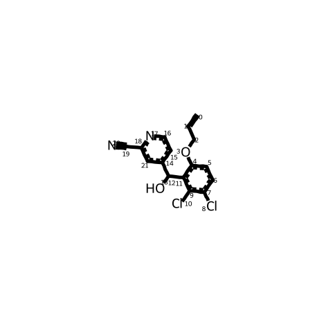 C=CCOc1ccc(Cl)c(Cl)c1C(O)c1ccnc(C#N)c1